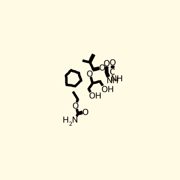 C1CCCCC1.C=C(C)C(=O)OC(CO)CO.CCOC(N)=O.N=C=O.N=C=O